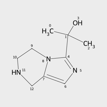 CC(C)(O)c1ncc2n1CCNC2